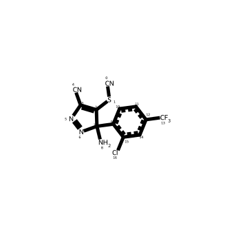 N#CSC1=C(C#N)N=NC1(N)c1ccc(C(F)(F)F)cc1Cl